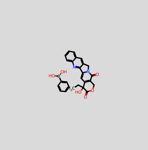 CCC1(O)C(=O)OCc2c1cc1n(c2=O)Cc2cc3ccccc3nc2-1.OB(O)c1ccccc1